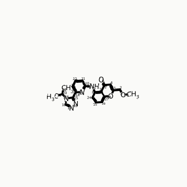 COCc1cc(=O)c2c(Nc3cccc(-c4nncn4C(C)C)n3)cccc2o1